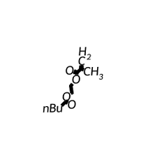 C=C(C)C(=O)OCCOC(=O)CCCC